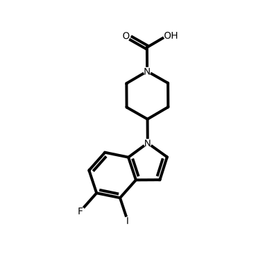 O=C(O)N1CCC(n2ccc3c(I)c(F)ccc32)CC1